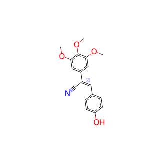 COc1cc(/C(C#N)=C/c2ccc(O)cc2)cc(OC)c1OC